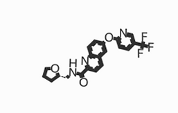 O=C(NC[C@@H]1CCCO1)c1ccc2cc(Oc3ccc(C(F)(F)F)cn3)ccc2n1